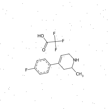 CC1CC(c2ccc(F)cc2)=CCN1.O=C(O)C(F)(F)F